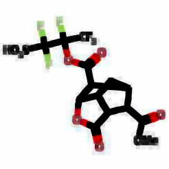 COC(=O)C1C2CC3C(OC(=O)C31)C2C(=O)OC(F)(C(F)(F)F)C(F)(F)S(=O)(=O)O